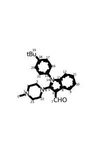 CN1CCN(c2c(C=O)c3ccccc3n2-c2ccc(C(C)(C)C)cc2)CC1